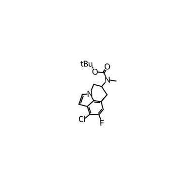 CN(C(=O)OC(C)(C)C)C1Cc2cc(F)c(Cl)c3ccn(c23)C1